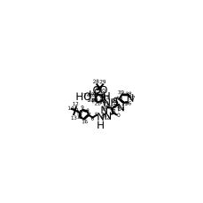 Cc1nc(NCCc2ccc(C(C)(C)C)cc2)nc(N[C@@H]2C[C@H](CO)[C@H]3OC(C)(C)O[C@H]32)c1-c1nc2cnccc2s1